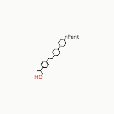 C=C(CO)c1ccc(CCC2CCC(C3CCC(CCCCC)CC3)CC2)cc1